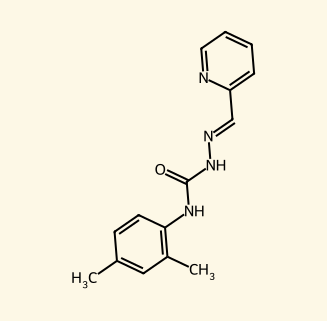 Cc1ccc(NC(=O)NN=Cc2ccccn2)c(C)c1